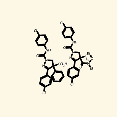 CCON(CC)C(=O)C1(C)CN(C(=O)Nc2ccc(Cl)cc2)N=C1c1ccc(Cl)cc1.O=C(Nc1ccc(Cl)cc1)N1CC(C(=O)O)(c2ccccc2)C(c2ccc(Cl)cc2)=N1